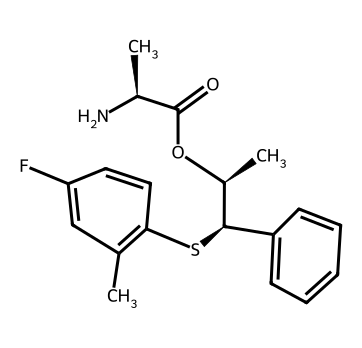 Cc1cc(F)ccc1S[C@H](c1ccccc1)[C@H](C)OC(=O)[C@H](C)N